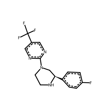 Fc1ccc([C@@H]2CN(c3ncc(C(F)(F)F)cn3)CCN2)cc1